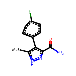 CSc1[nH]nc(C(N)=O)c1-c1ccc(F)cc1